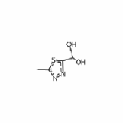 Cc1nnc(C(O)O)s1